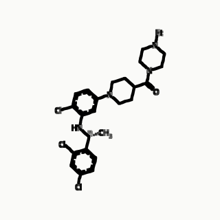 CCN1CCN(C(=O)C2CCN(c3ccc(Cl)c(N[C@H](C)c4ccc(Cl)cc4Cl)c3)CC2)CC1